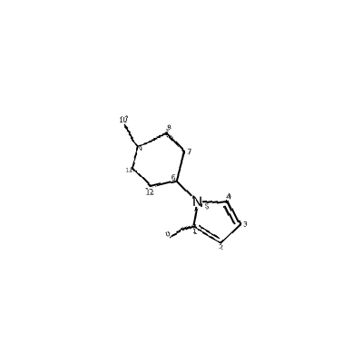 Cc1cccn1C1CCC(C)CC1